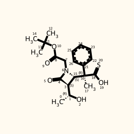 C[C@@H](O)[C@H]1C(=O)N(CC(=O)OC(C)(C)C)[C@@H]1[C@](C)(C(O)=S)c1ccccc1